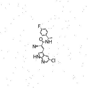 C[C@@H](NC(=O)/C(C#N)=C/c1c[nH]c2ncc(Cl)cc12)c1ccc(F)cc1